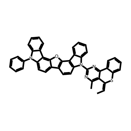 C/C=C1/Sc2ccccc2-c2nc(-n3c4ccccc4c4c5oc6c(ccc7c6c6ccccc6n7-c6ccccc6)c5ccc43)nc(C)c21